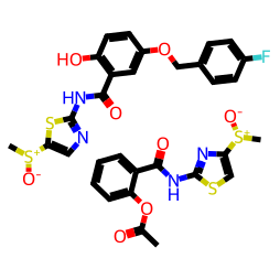 CC(=O)Oc1ccccc1C(=O)Nc1nc([S+](C)[O-])cs1.C[S+]([O-])c1cnc(NC(=O)c2cc(OCc3ccc(F)cc3)ccc2O)s1